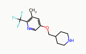 Cc1cc(OCC2CCNCC2)cnc1C(F)(F)F